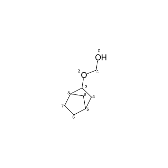 O[CH]OC1CC2CCC1C2